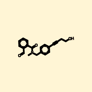 CN(Cc1ccc(C#CCCO)cc1)C(=O)c1ccccc1C=O